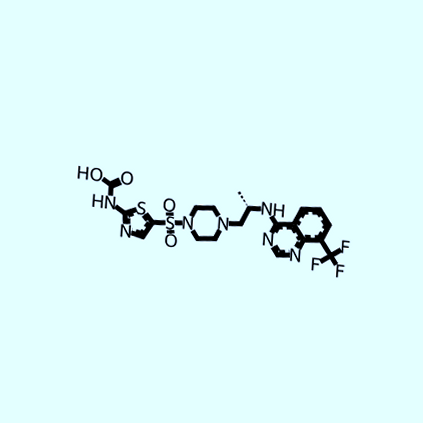 C[C@@H](CN1CCN(S(=O)(=O)c2cnc(NC(=O)O)s2)CC1)Nc1ncnc2c(C(F)(F)F)cccc12